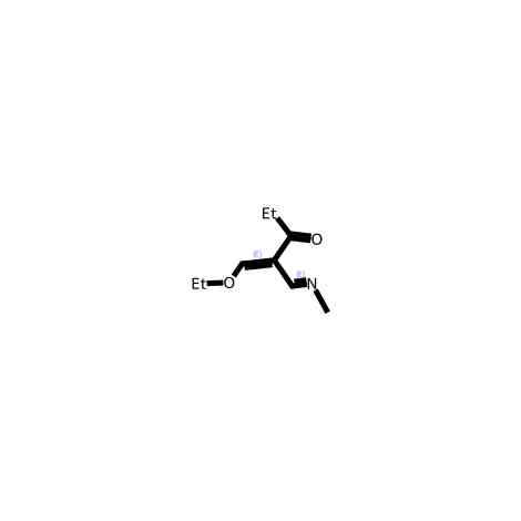 CCO/C=C(\C=N\C)C(=O)CC